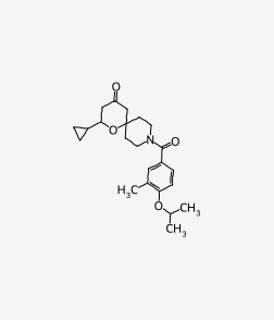 Cc1cc(C(=O)N2CCC3(CC2)CC(=O)CC(C2CC2)O3)ccc1OC(C)C